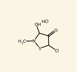 CN1SC(Cl)C(=O)C1O.Cl